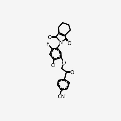 N#Cc1ccc(C(=O)COc2cc(N3C(=O)C4=C(CCCC4)C3=O)c(F)cc2Cl)cc1